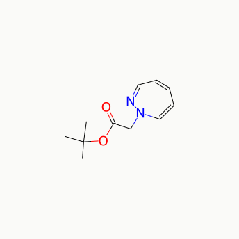 CC(C)(C)OC(=O)CN1C=CC=CC=N1